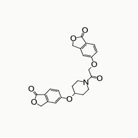 O=C1OCc2cc(OCC(=O)N3CCC(Oc4ccc5c(c4)COC5=O)CC3)ccc21